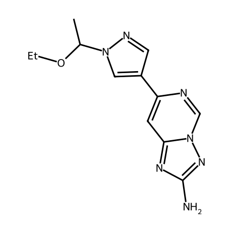 CCOC(C)n1cc(-c2cc3nc(N)nn3cn2)cn1